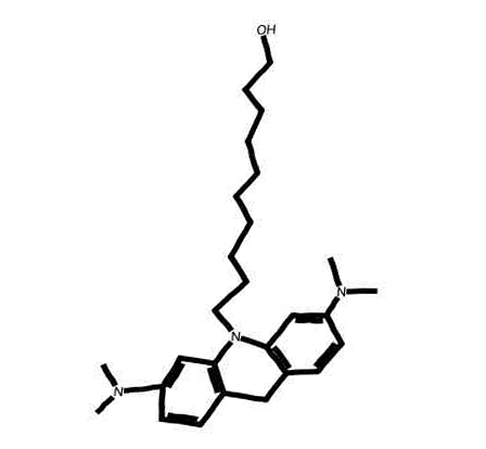 CN(C)c1ccc2c(c1)N(CCCCCCCCCCO)c1cc(N(C)C)ccc1C2